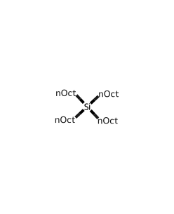 CCCCCCCC[Si](CCCCCCCC)(CCCCCCCC)CCCCCCCC